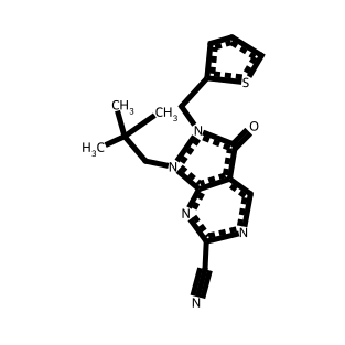 CC(C)(C)Cn1c2nc(C#N)ncc2c(=O)n1Cc1cccs1